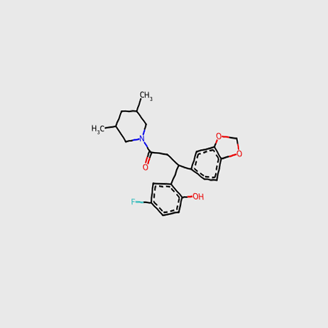 CC1CC(C)CN(C(=O)CC(c2ccc3c(c2)OCO3)c2cc(F)ccc2O)C1